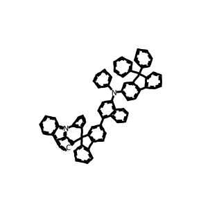 c1ccc(N(c2ccc3c(c2)C(c2ccccc2)(c2ccccc2)c2ccccc2-3)c2ccc(-c3ccc4c(c3)C3(c5ccccc5-4)c4ccccc4-n4c5ccccc5c5cccc3c54)c3ccccc23)cc1